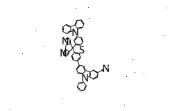 N#Cc1ccc2c(c1)c1cc(-c3ccc4c(c3)Sc3ccc(-n5c6ccccc6c6ccccc65)cc3C43c4cccnc4-c4ncccc43)ccc1n2-c1ccccc1